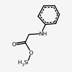 O=C(CNc1ccccc1)O[SiH3]